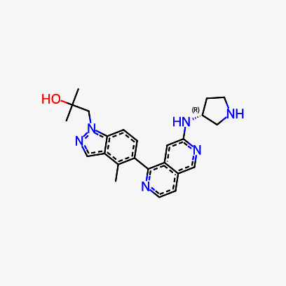 Cc1c(-c2nccc3cnc(N[C@@H]4CCNC4)cc23)ccc2c1cnn2CC(C)(C)O